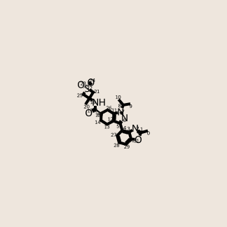 Cc1nc2c(-c3nn(C(C)C)c4c3CC[C@@H](C(=O)NC3(C)CS(=O)(=O)C3)C4)cccc2o1